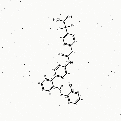 CC(O)C(F)(F)c1ccc(CC(=O)Nc2ccc(-c3nccnc3OCc3ccccc3Cl)cc2)cc1